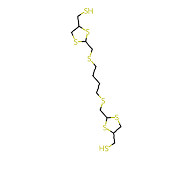 SCC1CSC(CSCCCCSCC2SCC(CS)S2)S1